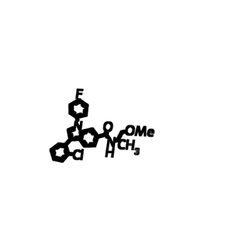 COCC(C)NC(=O)c1ccc2c(-c3ccccc3Cl)cn(-c3ccc(F)cc3)c2c1